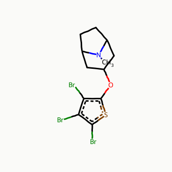 CN1C2CCC1CC(Oc1sc(Br)c(Br)c1Br)C2